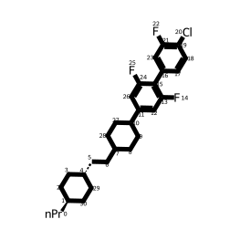 CCC[C@H]1CC[C@H](CCC2CCC(c3cc(F)c(-c4ccc(Cl)c(F)c4)c(F)c3)CC2)CC1